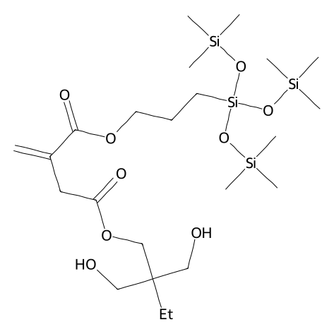 C=C(CC(=O)OCC(CC)(CO)CO)C(=O)OCCC[Si](O[Si](C)(C)C)(O[Si](C)(C)C)O[Si](C)(C)C